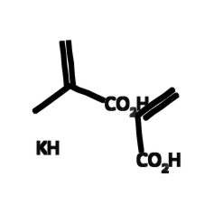 C=C(C)C(=O)O.C=CC(=O)O.[KH]